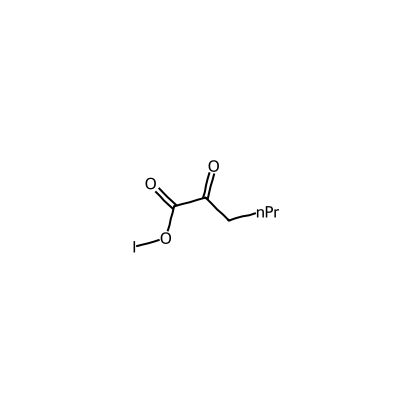 CCCCC(=O)C(=O)OI